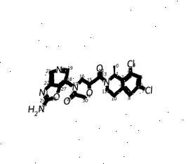 C[C@H]1c2c(Cl)cc(Cl)cc2CCN1C(=O)C1CN(c2cncc3nc(N)oc23)C(=O)CO1